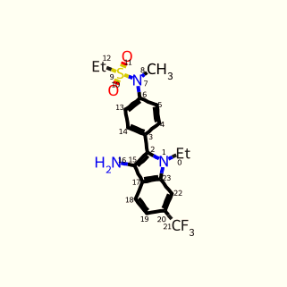 CCn1c(-c2ccc(N(C)S(=O)(=O)CC)cc2)c(N)c2ccc(C(F)(F)F)cc21